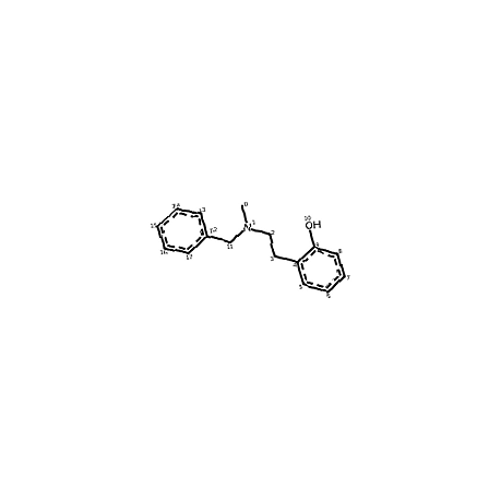 CN(CCc1ccccc1O)Cc1ccccc1